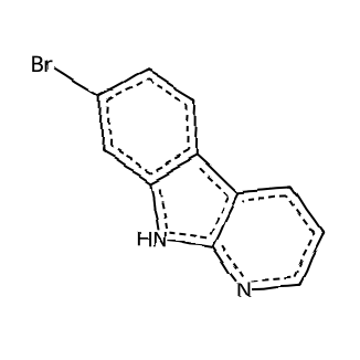 Brc1ccc2c(c1)[nH]c1ncccc12